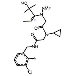 C/C=C(/N(CC(=O)N(CC(=O)NCc1cccc(Cl)c1F)C1CC1)NC)C(C)(C)O